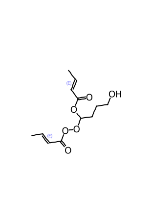 C/C=C/C(=O)OOC(CCCO)OC(=O)/C=C/C